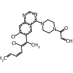 C=C/C=C\C(Cl)=C(/C)c1cc2c(N3CCN(C(=O)C=C)CC3)ncnc2cc1Cl